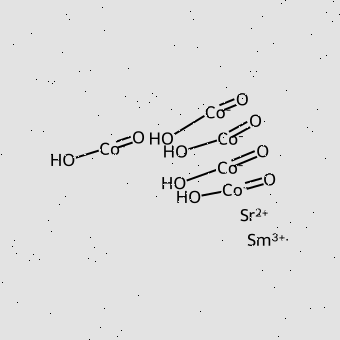 [O]=[Co-][OH].[O]=[Co-][OH].[O]=[Co-][OH].[O]=[Co-][OH].[O]=[Co-][OH].[Sm+3].[Sr+2]